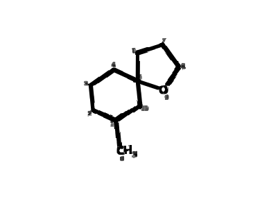 CC1CCCC2(CCCO2)C1